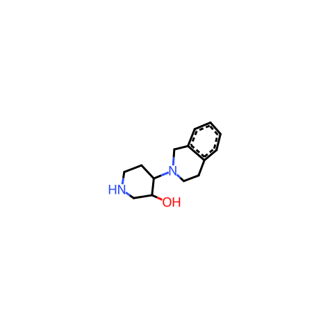 OC1CNCCC1N1CCc2ccccc2C1